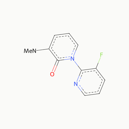 CNc1cccn(-c2ncccc2F)c1=O